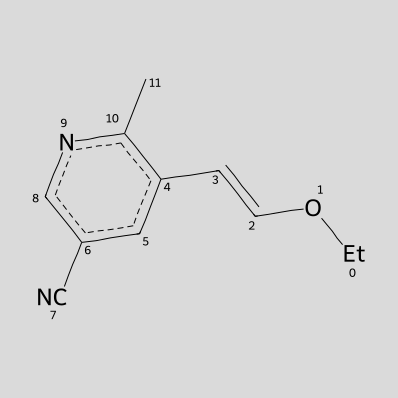 CCOC=Cc1cc(C#N)cnc1C